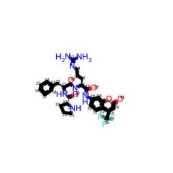 NC(N)=NCCC[C@H](NC(=O)[C@H](Cc1ccccc1)NC(=O)[C@H]1CCCN1)C(=O)Nc1ccc2c(C(F)(F)F)cc(=O)oc2c1